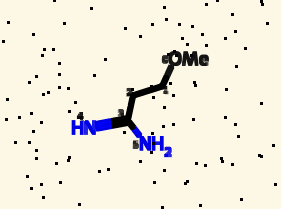 COCCC(=N)N